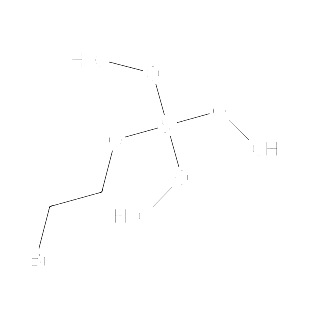 CO[Si](OC)(OC)OCCBr